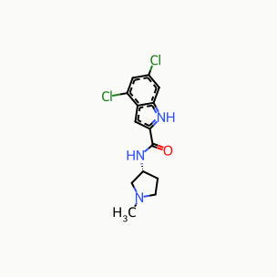 CN1CC[C@@H](NC(=O)c2cc3c(Cl)cc(Cl)cc3[nH]2)C1